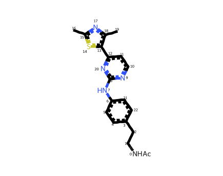 CC(=O)NCCc1ccc(Nc2nccc(-c3sc(C)nc3C)n2)cc1